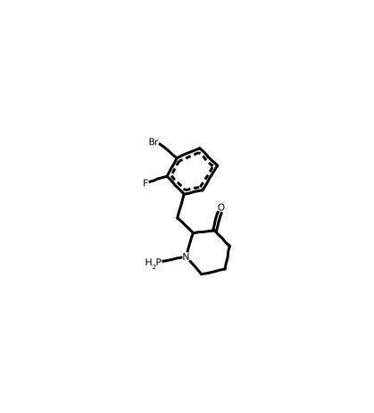 O=C1CCCN(P)C1Cc1cccc(Br)c1F